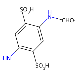 [NH]c1cc(S(=O)(=O)O)c(N[C]=O)cc1S(=O)(=O)O